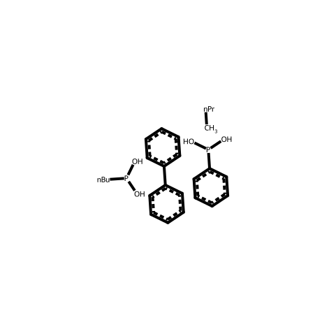 CCCC.CCCCP(O)O.OP(O)c1ccccc1.c1ccc(-c2ccccc2)cc1